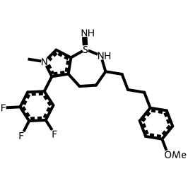 COc1ccc(CCCC2CCc3c(cn(C)c3-c3cc(F)c(F)c(F)c3)S(=N)N2)cc1